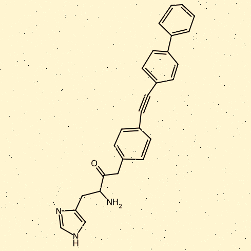 NC(Cc1c[nH]cn1)C(=O)Cc1ccc(C#Cc2ccc(-c3ccccc3)cc2)cc1